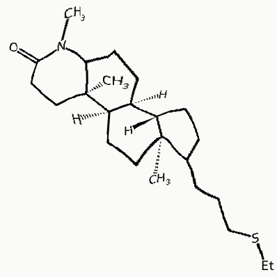 CCSCCCC1CC[C@H]2[C@@H]3CCC4N(C)C(=O)CC[C@]4(C)[C@@H]3CC[C@]12C